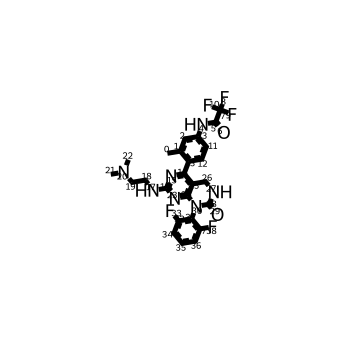 Cc1cc(NC(=O)C(F)(F)F)ccc1-c1nc(NCCN(C)C)nc2c1CNC(=O)N2c1c(F)cccc1F